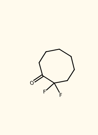 O=C1CCCCCCC1(F)F